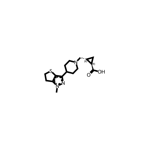 Cn1nc(C2CCN(C[C@@H]3C[C@H]3C(=O)O)CC2)c2c1CCS2